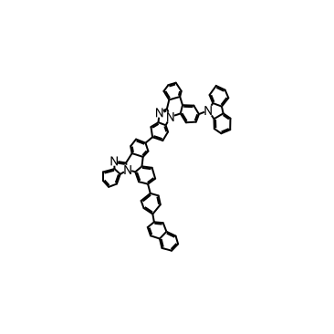 c1ccc2cc(-c3ccc(-c4ccc5c6cc(-c7ccc8c(c7)nc7c9ccccc9c9cc(-n%10c%11ccccc%11c%11ccccc%11%10)ccc9n87)ccc6c6nc7ccccc7n6c5c4)cc3)ccc2c1